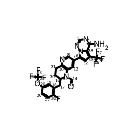 Nc1ncnn2c(-c3cnc4c(c3)N(C=O)C(Cc3cc(OC(F)(F)F)ccc3F)CC4)cc(C(F)(F)F)c12